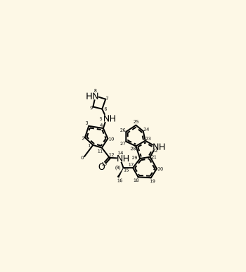 Cc1ccc(NC2CNC2)cc1C(=O)N[C@H](C)c1cccc2[nH]c3ccccc3c12